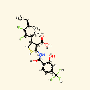 C=C(/C(F)=C(F)\C(C)=C/C)C1CSC(NC(=O)c2ccc(C(F)(F)F)cc2O)=C1C(=O)O